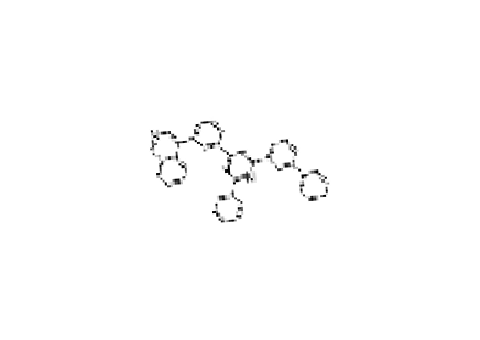 c1ccc(-c2cccc(-c3cc(-c4cccc(-c5cncc6ccccc56)c4)nc(-c4ccccc4)n3)c2)cc1